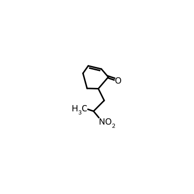 CC(CC1CCC=CC1=O)[N+](=O)[O-]